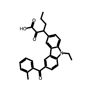 CCCC(C(=O)C(=O)O)c1ccc2c(c1)c1cc(C(=O)c3ccccc3C)ccc1n2CC